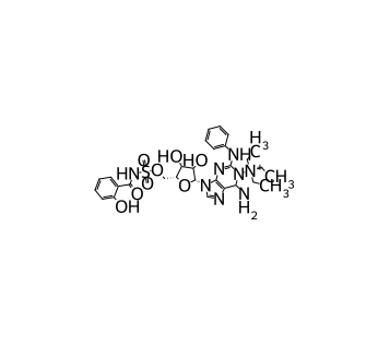 CC[N+](CC)(CC)N1C(Nc2ccccc2)=Nc2c(ncn2[C@@H]2O[C@H](COS(=O)(=O)NC(=O)c3ccccc3O)C(O)C2O)C1N